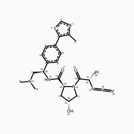 Cc1ncsc1-c1ccc([C@H](CN(C)C)NC(=O)[C@@H]2C[C@@H](O)CN2C(=O)[C@@H](N=[N+]=[N-])C(C)C)cc1